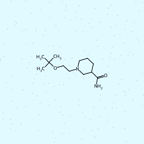 CC(C)(C)OCCN1CCCC(C(N)=O)C1